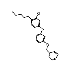 Clc1cc(Sc2cccc(OCc3ccccc3)c2)ccc1CCCCI